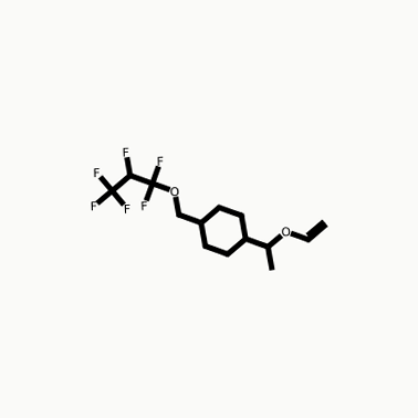 C=COC(C)C1CCC(COC(F)(F)C(F)C(F)(F)F)CC1